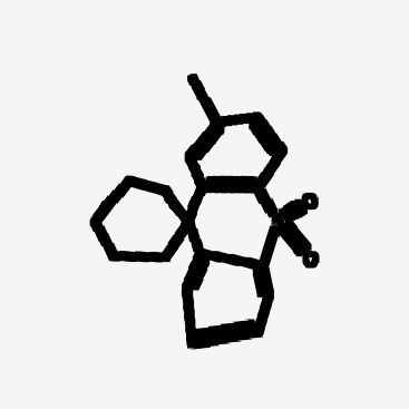 Cc1ccc2c(c1)C1(CCCCC1)c1ccccc1S2(=O)=O